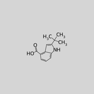 CC(C)(C)c1cc2c(C(=O)O)cccc2[nH]1